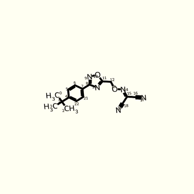 CC(C)(C)c1ccc(-c2noc(CON=C(C#N)C#N)n2)cc1